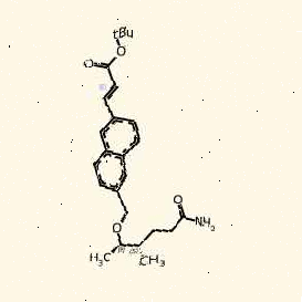 C[C@@H](CCC(N)=O)[C@@H](C)OCc1ccc2cc(/C=C/C(=O)OC(C)(C)C)ccc2c1